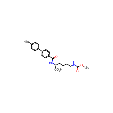 CCCCc1ccc(-c2ccc(C(=O)N[C@@H](CCCCNC(=O)OC(C)(C)C)C(=O)O)cc2)cc1